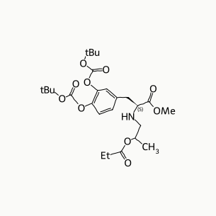 CCC(=O)OC(C)CN[C@@H](Cc1ccc(OC(=O)OC(C)(C)C)c(OC(=O)OC(C)(C)C)c1)C(=O)OC